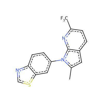 Cc1cc2ccc(C(F)(F)F)nc2n1-c1ccc2ncsc2c1